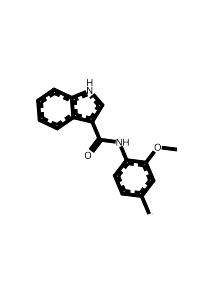 [CH2]c1ccc(NC(=O)c2c[nH]c3ccccc23)c(OC)c1